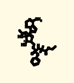 CCOC(=O)C(C)(C)NP(=O)(OCC1O[C@@](C=NC)(c2ccc3c(N)ncnn23)[C@H](O)[C@@H]1O)Oc1ccccc1